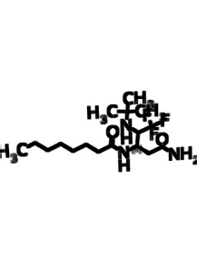 CCCCCCCC(=O)N[C@H](CC(N)=O)C(NC(C)(C)C)C(F)(F)F